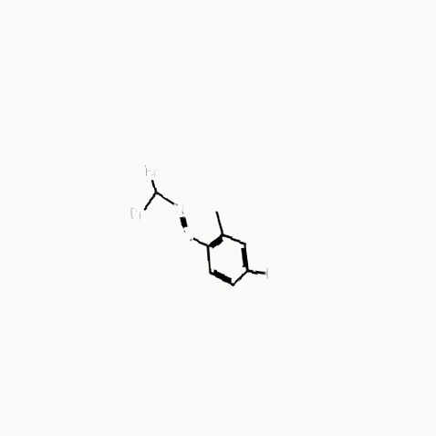 Fc1ccc(N=NC(Br)Br)c(I)c1